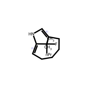 CCCC(C)(F)/C1=C\CCCC/C(C)=C/N1